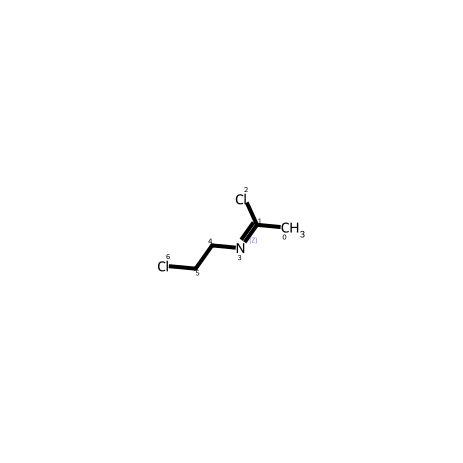 C/C(Cl)=N/CCCl